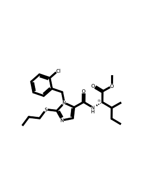 CCCSc1ncc(C(=O)N[C@H](C(=O)OC)C(C)CC)n1Cc1ccccc1Cl